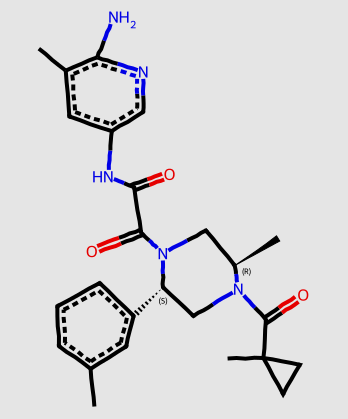 Cc1cccc([C@H]2CN(C(=O)C3(C)CC3)[C@H](C)CN2C(=O)C(=O)Nc2cnc(N)c(C)c2)c1